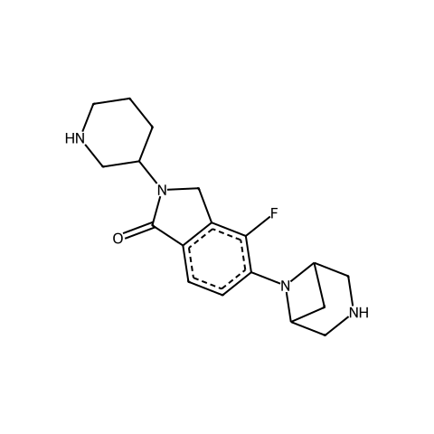 O=C1c2ccc(N3C4CNCC3C4)c(F)c2CN1C1CCCNC1